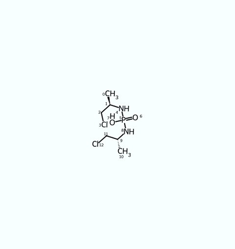 C[C@H](CCl)NP(=O)(O)N[C@H](C)CCl